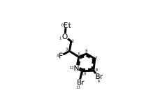 CCOCC(F)c1ccc(Br)c(Br)n1